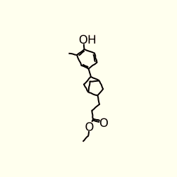 CCOC(=O)CCC1CC2CC1CC2c1ccc(O)c(C)c1